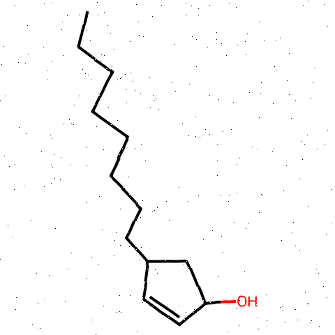 CCCCCCCCC1C=CC(O)C1